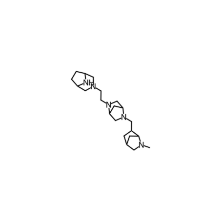 CN1CC2CC(CN3CC4CC3CN4CCN3CC4CCC(C3)N4)C1C2